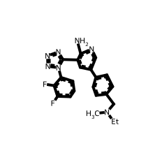 CCN(C)Cc1ccc(-c2cnc(N)c(-c3nnnn3-c3cccc(F)c3F)c2)cc1